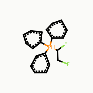 FCC(F)[PH](c1ccccc1)(c1ccccc1)c1ccccc1